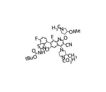 CO[C@@H]1CN(C)C[C@H]1Oc1nc2c(F)c(-c3ccc(F)c4sc(NC(=O)OC(C)(C)C)nc34)c(Cl)cc2c(N2CCN(C(=O)O)[C@H](C)C2)c1C#N